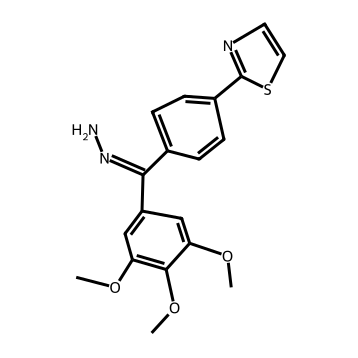 COc1cc(C(=NN)c2ccc(-c3nccs3)cc2)cc(OC)c1OC